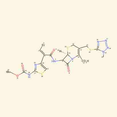 CC/C=C(\C(=O)NC1C(=O)N2C(C(=O)O)=C(CSc3nnnn3C)CS[C@H]12)c1csc(NC(=O)OC(C)(C)C)n1